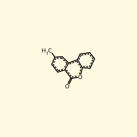 Cc1ccc2c(=O)oc3ccccc3c2c1